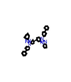 c1ccc(-c2ccc(-n3c4ccc(-c5ccc6c(c5)n5c7ccccc7nc5n6-c5ccc(-c6ccccc6)cc5)cc4n4c5ccccc5nc34)cc2)cc1